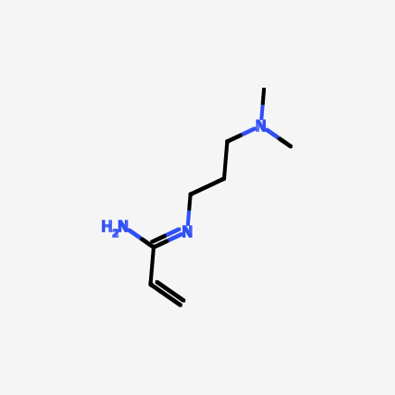 C=CC(N)=NCCCN(C)C